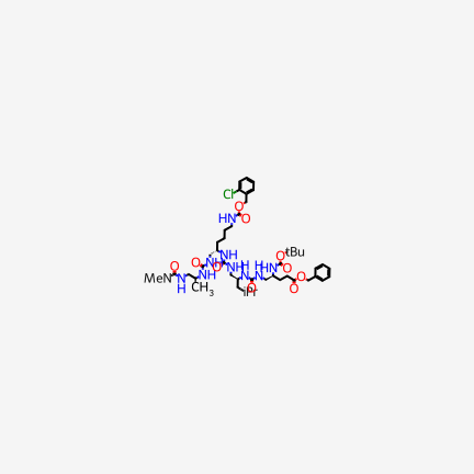 CNC(=O)NC[C@H](C)NC(=O)NC[C@H](CCCCNC(=O)OCc1ccccc1Cl)NC(=O)NC[C@H](CC(C)C)NC(=O)NC[C@H](CCC(=O)OCc1ccccc1)NC(=O)OC(C)(C)C